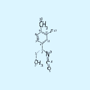 CC[C@@H](N=C=O)c1ccc(C)c(F)c1